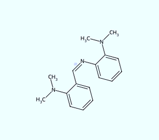 CN(C)c1ccccc1/C=N\c1ccccc1N(C)C